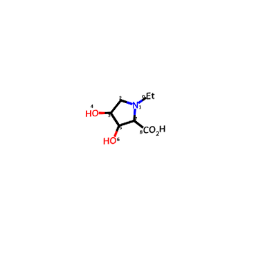 CCN1CC(O)C(O)C1C(=O)O